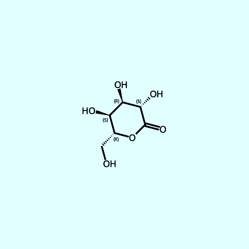 O=C1O[C@H](CO)[C@@H](O)[C@@H](O)[C@@H]1O